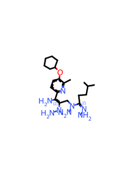 Cc1nc(/C(N)=C(\CN(N)/C(CCC(C)C)=N\N)N(C)N)ccc1OC1CCCCC1